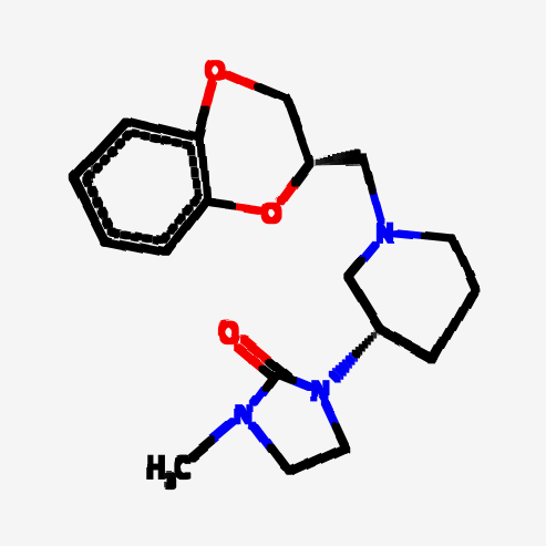 CN1CCN([C@H]2CCCN(C[C@H]3COc4ccccc4O3)C2)C1=O